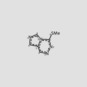 CSc1nncc2cncn12